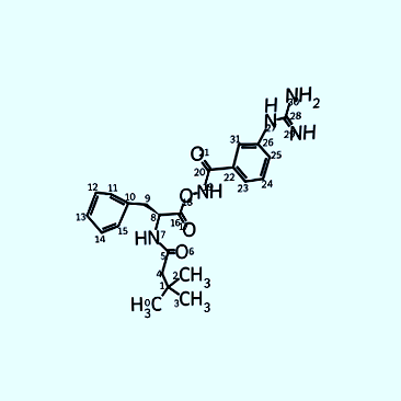 CC(C)(C)CC(=O)N[C@@H](Cc1ccccc1)C(=O)ONC(=O)c1cccc(NC(=N)N)c1